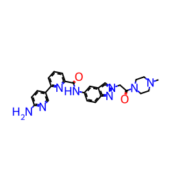 CN1CCN(C(=O)Cn2cc3cc(NC(=O)c4cccc(-c5ccc(N)nc5)n4)ccc3n2)CC1